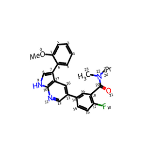 COc1ccccc1-c1c[nH]c2ncc(-c3ccc(F)c(C(=O)N(C)C(C)C)c3)cc12